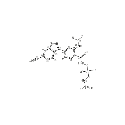 CC(=O)NCC(F)(F)CNC(=O)c1cnc(-c2ccc3cc(C#N)cnn23)cc1NC(C)C